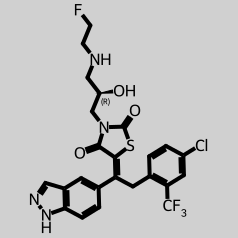 O=C1SC(=C(Cc2ccc(Cl)cc2C(F)(F)F)c2ccc3[nH]ncc3c2)C(=O)N1C[C@H](O)CNCCF